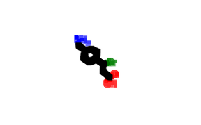 NCc1ccc(C(Br)CC(=O)O)cc1